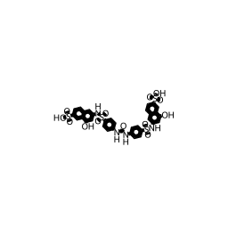 O=C(Nc1ccc(S(=O)(=O)Nc2cc(O)c3cc(S(=O)(=O)O)ccc3c2)cc1)Nc1ccc(S(=O)(=O)Nc2cc(O)c3cc(S(=O)(=O)O)ccc3c2)cc1